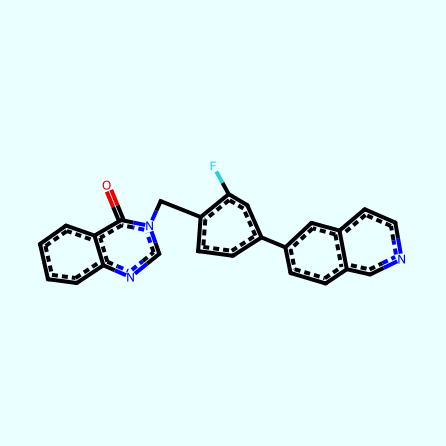 O=c1c2ccccc2ncn1Cc1ccc(-c2ccc3cnccc3c2)cc1F